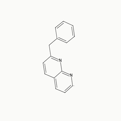 [c]1ccc2ccc(Cc3ccccc3)nc2n1